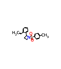 C=Cc1ccccc1C1CCN1S(=O)(=O)c1ccc(C)cc1